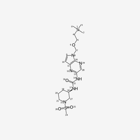 C[Si](C)(C)CCOCn1ccc2nc(NC(=O)N[C@@H]3CCCN(S(C)(=O)=O)C3)cnc21